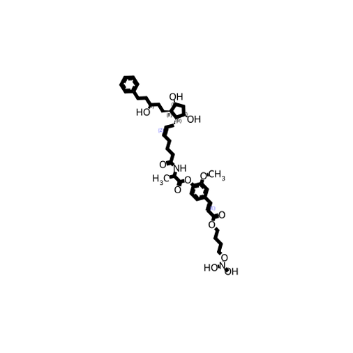 COc1cc(/C=C/C(=O)OCCCCON(O)O)ccc1OC(=O)C(C)NC(=O)CCC/C=C\C[C@@H]1[C@@H](CC[C@@H](O)CCc2ccccc2)[C@H](O)C[C@@H]1O